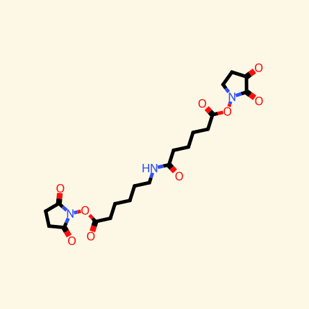 O=C(CCCCC(=O)ON1CCC(=O)C1=O)NCCCCCC(=O)ON1C(=O)CCC1=O